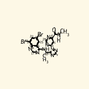 CNC(=O)c1cc(-n2ncnc2[C@H](C)Nc2ncnc3c(Br)cc(Br)cc23)ncn1